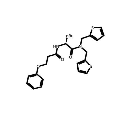 [CH2]CCC[C@H](NC(=O)CCOc1ccccc1)C(=O)N(Cc1cccs1)Cc1cccs1